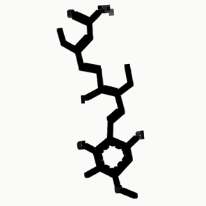 CCC(C=CC(F)=C(C=Cc1c(Cl)cc(OC)c(C)c1Cl)CC)=CC(N)=O